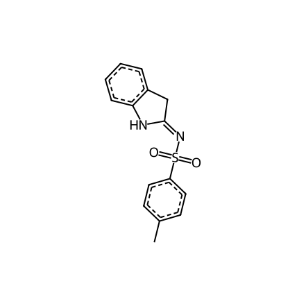 Cc1ccc(S(=O)(=O)N=C2Cc3ccccc3N2)cc1